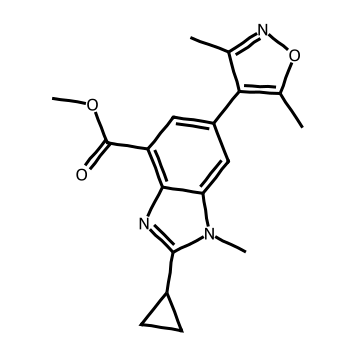 COC(=O)c1cc(-c2c(C)noc2C)cc2c1nc(C1CC1)n2C